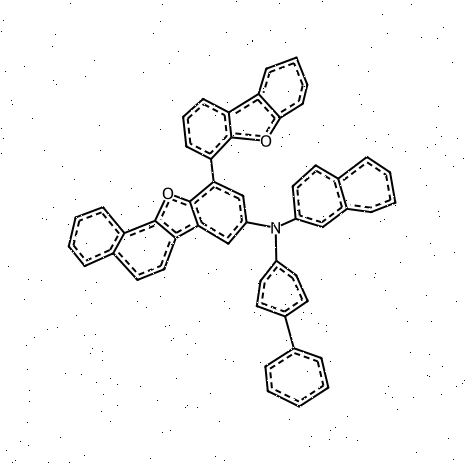 c1ccc(-c2ccc(N(c3ccc4ccccc4c3)c3cc(-c4cccc5c4oc4ccccc45)c4oc5c6ccccc6ccc5c4c3)cc2)cc1